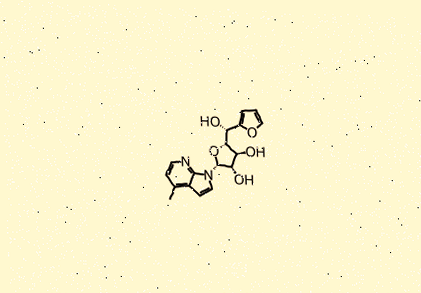 Cc1ccnc2c1ccn2[C@@H]1O[C@H]([C@H](O)c2ccco2)[C@@H](O)[C@H]1O